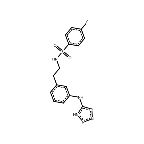 O=S(=O)(NCCc1cccc(Nc2nnn[nH]2)c1)c1ccc(Cl)cc1